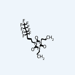 C=CCn1c(=O)n(CC=C)c(=O)n(C/C=C/C(F)(F)C(F)(F)C(F)(F)C(F)(F)F)c1=O